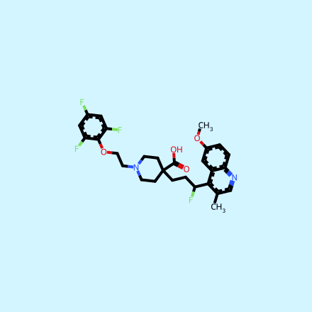 COc1ccc2ncc(C)c(C(F)CCC3(C(=O)O)CCN(CCOc4c(F)cc(F)cc4F)CC3)c2c1